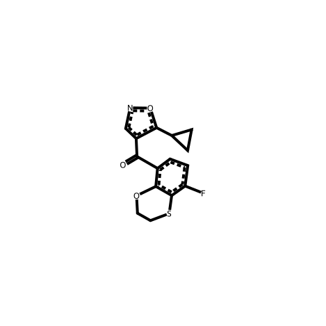 O=C(c1cnoc1C1CC1)c1ccc(F)c2c1OCCS2